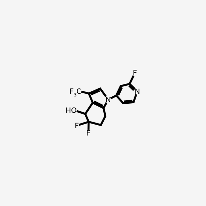 OC1c2c(C(F)(F)F)cn(-c3ccnc(F)c3)c2CCC1(F)F